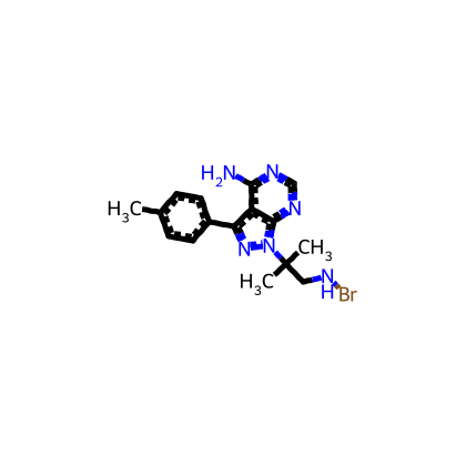 Cc1ccc(-c2nn(C(C)(C)CNBr)c3ncnc(N)c23)cc1